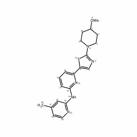 COC1CCN(c2ncc(-c3cccc(Nc4cc(C)ccn4)n3)s2)CC1